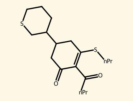 CCCSC1=C(C(=O)CCC)C(=O)CC(C2CCCSC2)C1